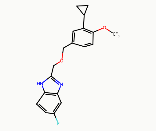 Fc1ccc2[nH]c(COCc3ccc(OC(F)(F)F)c(C4CC4)c3)nc2c1